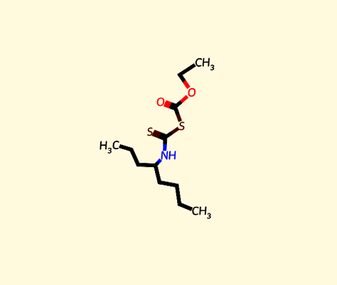 CCCCC(CCC)NC(=S)SC(=O)OCC